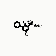 COC(=O)c1cc(Cl)cc(-c2ccccc2)c1OC